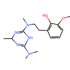 COc1cccc(CCN(C)C2=NC(C)N=C(N(C)C)N2)c1O